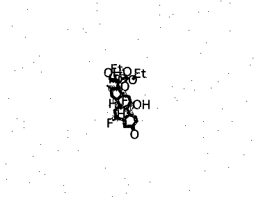 CCOC(O)(OCC)O[C@]1(C(=O)CO)[C@H](C)C[C@H]2[C@@H]3C[C@H](F)C4=CC(=O)C=C[C@]4(C)[C@@]3(F)[C@@H](O)C[C@@]21C